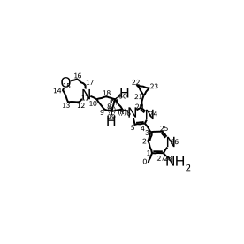 Cc1cc(-c2cn([C@H]3[C@@H]4CC(N5CCCOCC5)C[C@@H]43)c(C3CC3)n2)cnc1N